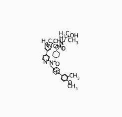 COc1ccc(C23CCC(CN(c4cc(-c5cnn(C(C)(C)C)c5)ccn4)C(=O)[C@H]4CC[C@H](OC(=O)NCCC(C)(C)O)CC4)(CC2)CC3)cc1C